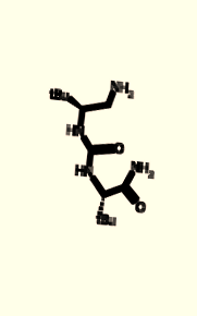 CC(C)(C)[C@H](NC(=O)N[C@H](CN)C(C)(C)C)C(N)=O